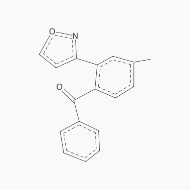 Cc1ccc(C(=O)c2ccccc2)c(-c2ccon2)c1